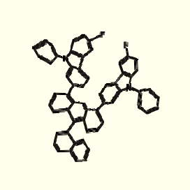 Fc1ccc2c(c1)c1ccc(-c3cccc4c(-c5cccc6ccccc56)c5cccc(-c6ccc7c8cc(F)ccc8n(-c8ccccc8)c7c6)c5cc34)cc1n2-c1ccccc1